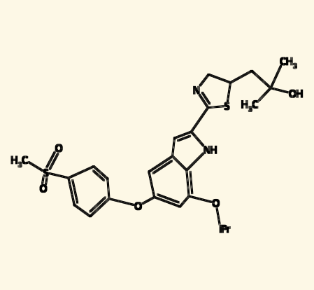 CC(C)Oc1cc(Oc2ccc(S(C)(=O)=O)cc2)cc2cc(C3=NCC(CC(C)(C)O)S3)[nH]c12